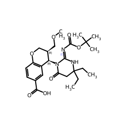 CCC1(CC)CC(=O)N([C@H]2c3cc(C(=O)O)ccc3OC[C@H]2COC)/C(=N/C(=O)OC(C)(C)C)N1